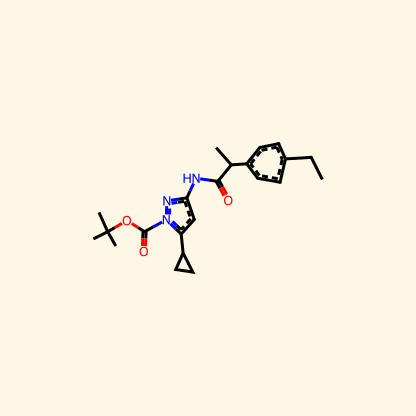 CCc1ccc(C(C)C(=O)Nc2cc(C3CC3)n(C(=O)OC(C)(C)C)n2)cc1